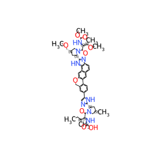 CC[C@@H](C)[C@H](NC(=O)O)C(=O)N1C[C@@H](C)C[C@H]1c1ncc(-c2ccc3c(c2)COc2cc4c(ccc5nc([C@@H]6C[C@H](COC)CN6C(=O)[C@@H](NC(=O)OC)[C@H](C)OC)[nH]c54)cc2-3)[nH]1